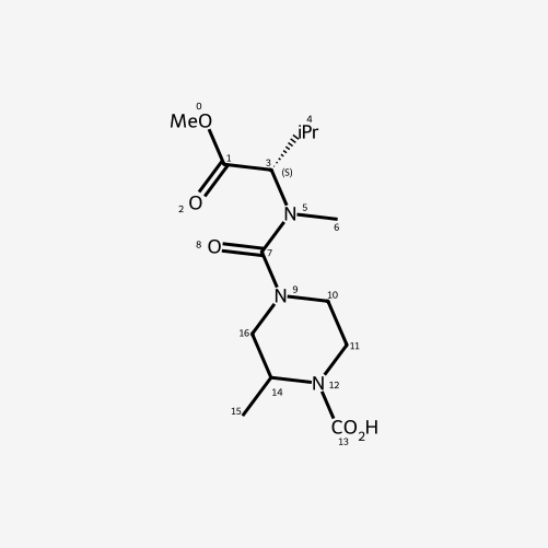 COC(=O)[C@H](C(C)C)N(C)C(=O)N1CCN(C(=O)O)C(C)C1